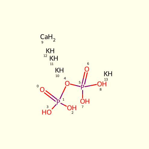 O=P(O)(O)OP(=O)(O)O.[CaH2].[KH].[KH].[KH].[KH]